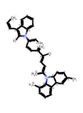 C=C(/C=C\C(=C/C)n1c(CC)c(/C=C\C)c2ccccc21)/C(=C/C=C(\C)N1c2c(C)cccc2C2C=C(C)C=CC21)CC